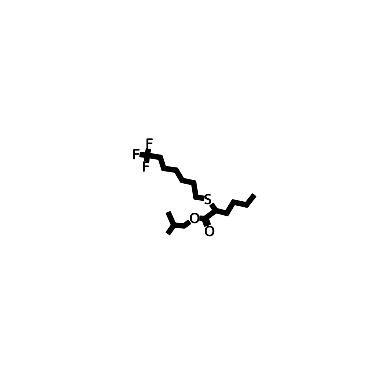 CCCCC(SCCCCCCC(F)(F)F)C(=O)OCC(C)C